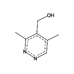 Cc1cnnc(C)c1CO